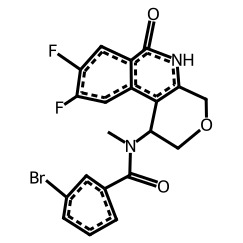 CN(C(=O)c1cccc(Br)c1)C1COCc2[nH]c(=O)c3cc(F)c(F)cc3c21